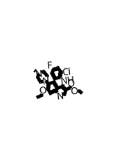 CCOC(=O)c1cnc2cc(OCC)c(N3CCN(C)CC3)cc2c1Nc1ccc(F)cc1Cl